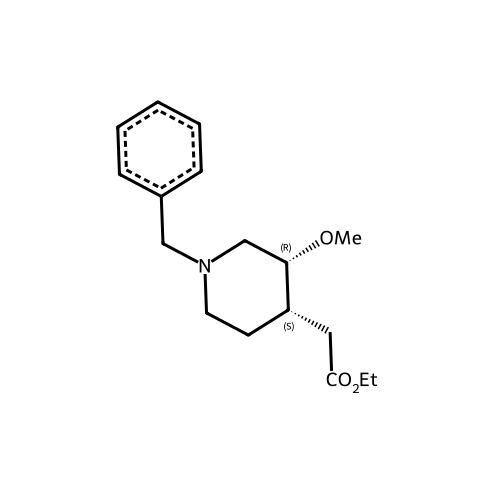 CCOC(=O)C[C@@H]1CCN(Cc2ccccc2)C[C@@H]1OC